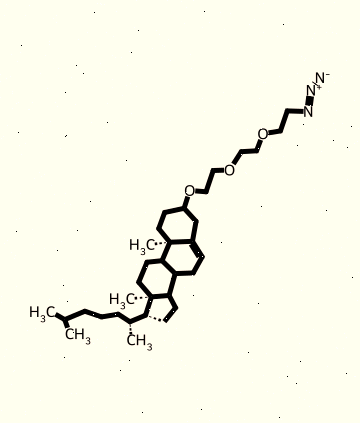 CC(C)CCC[C@@H](C)[C@H]1CCC2C3CC=C4CC(OCCOCCOCCN=[N+]=[N-])CC[C@]4(C)C3CC[C@@]21C